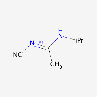 C/C(=N\C#N)NC(C)C